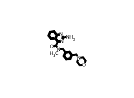 CN(Cc1cccc(CN2CCOCC2)c1)C(=O)c1nc(N)nc2ccccc12